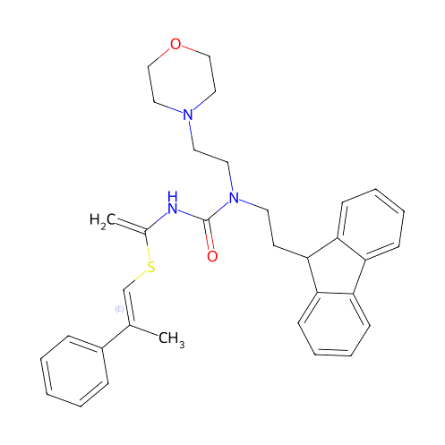 C=C(NC(=O)N(CCC1c2ccccc2-c2ccccc21)CCN1CCOCC1)S/C=C(\C)c1ccccc1